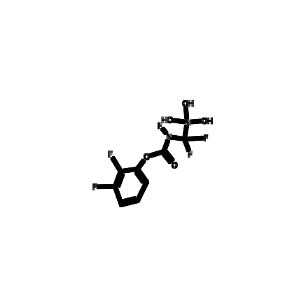 O=C(Oc1cccc(F)c1F)N(F)C(F)(F)[Si](O)(O)O